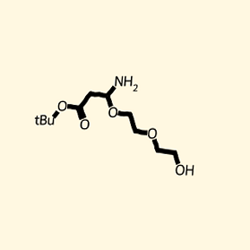 CC(C)(C)OC(=O)CC(N)OCCOCCO